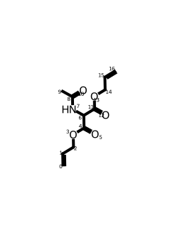 C=CCOC(=O)C(NC(C)=O)C(=O)OCC=C